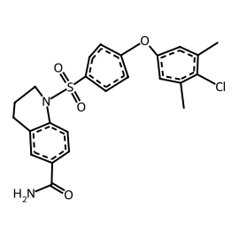 Cc1cc(Oc2ccc(S(=O)(=O)N3CCCc4cc(C(N)=O)ccc43)cc2)cc(C)c1Cl